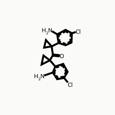 Nc1cc(Cl)ccc1C1(C(=O)C2(c3ccc(Cl)cc3N)CC2)CC1